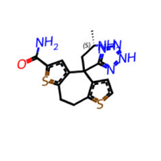 C[C@H](N)CC1(c2nn[nH]n2)c2ccsc2CCc2sc(C(N)=O)cc21